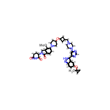 COc1c(N2CCC(OC3CC(CN4CCN(c5cc(-c6[nH]nc7ccc(OC8(C)CC8)cc67)ncn5)CC4)C3)CC2)ccc2c1CN(C1CCC(=O)NC1=O)C2=O